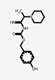 CC(C(=N)NC(=O)OCc1ccc(O)cc1)N1CCCCC1